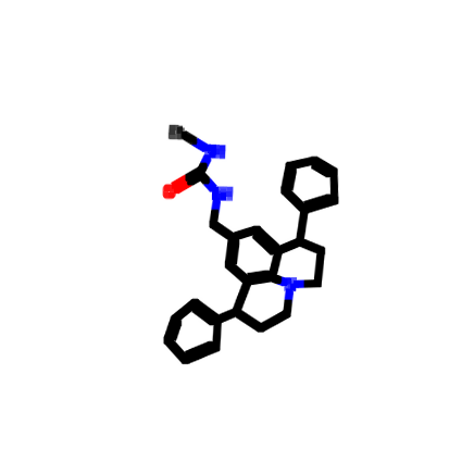 CCNC(=O)NCc1cc2c3c(c1)C(c1ccccc1)CCN3CCC2c1ccccc1